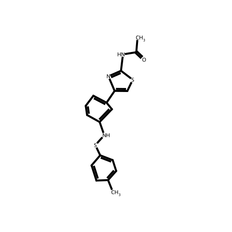 CC(=O)Nc1nc(-c2cccc(NSc3ccc(C)cc3)c2)cs1